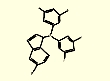 Fc1cc(F)cc(P(c2cc(F)cc(F)c2)C2C=Cc3cc(F)ccc32)c1